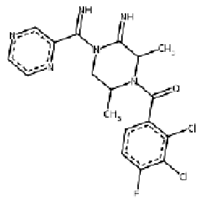 CC1CN(C(=N)c2cnccn2)C(=N)C(C)N1C(=O)c1ccc(F)c(Cl)c1Cl